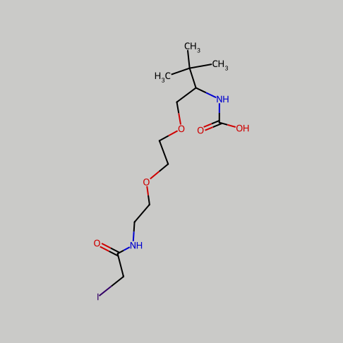 CC(C)(C)C(COCCOCCNC(=O)CI)NC(=O)O